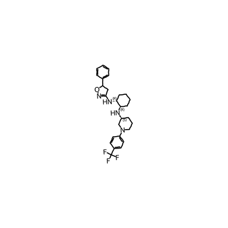 FC(F)(F)c1ccc(N2CCC[C@H](N[C@@H]3CCCC[C@H]3NC3=NOC(c4ccccc4)C3)C2)cc1